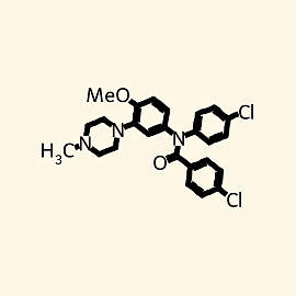 COc1ccc(N(C(=O)c2ccc(Cl)cc2)c2ccc(Cl)cc2)cc1N1CCN(C)CC1